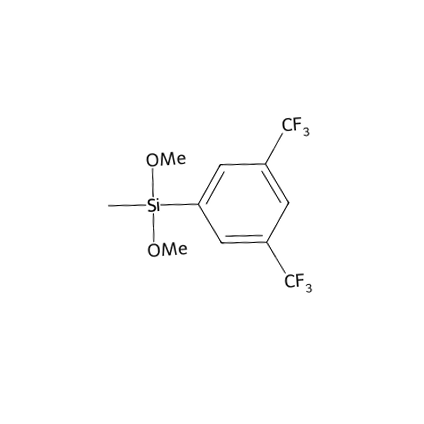 CO[Si](C)(OC)c1cc(C(F)(F)F)cc(C(F)(F)F)c1